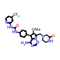 COc1c(-c2ccc(NC(=O)Nc3cc(C(F)(F)F)ccn3)cc2)c2c(N)ncnn2c1CN1CCNC(=O)C1